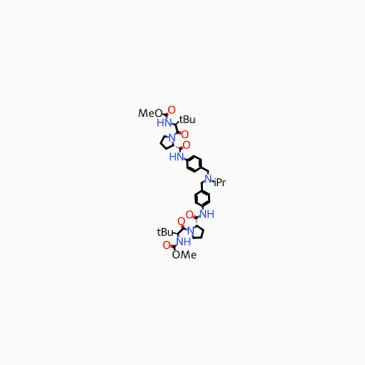 COC(=O)N[C@H](C(=O)N1CCC[C@H]1C(=O)Nc1ccc(CN(Cc2ccc(NC(=O)[C@@H]3CCCN3C(=O)[C@@H](NC(=O)OC)C(C)(C)C)cc2)C(C)C)cc1)C(C)(C)C